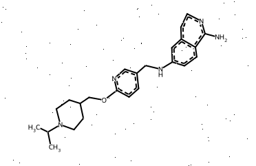 CC(C)N1CCC(COc2ccc(CNc3ccc4c(N)nccc4c3)cn2)CC1